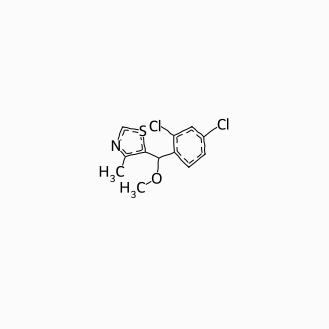 COC(c1ccc(Cl)cc1Cl)c1scnc1C